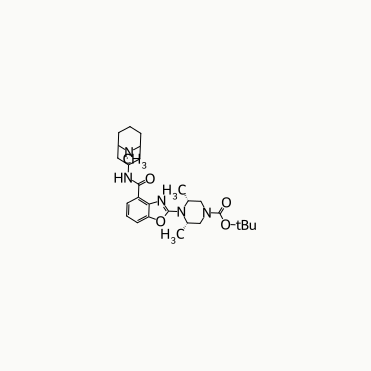 C[C@@H]1CN(C(=O)OC(C)(C)C)C[C@H](C)N1c1nc2c(C(=O)NC3CC4CCCC(C3)N4C)cccc2o1